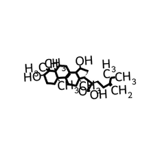 C=C(CC[C@@H](C(=O)O)[C@H]1C[C@H](O)C2C3=C(CC[C@@]21C)[C@@]1(C)CC[C@@H](O)C(C)(C)[C@@H]1CC3)C(C)C